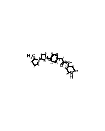 C[C@H]1CCCN1[C@H]1CCN(c2ccc(CC(=O)NC3CCNCC3)cc2)C1